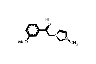 COc1cccc(C(=O)CN2C=CN(C)C2)c1.I